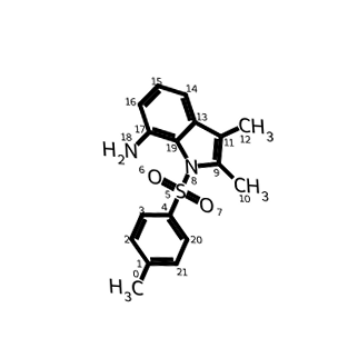 Cc1ccc(S(=O)(=O)n2c(C)c(C)c3cccc(N)c32)cc1